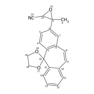 CC1(c2ccc3c(c2)C=Cc2ccccc2C32OCCO2)OC1C#N